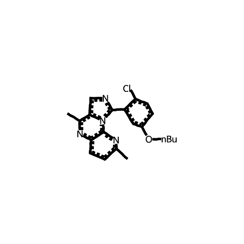 CCCCOc1ccc(Cl)c(-c2ncc3c(C)nc4ccc(C)nc4n23)c1